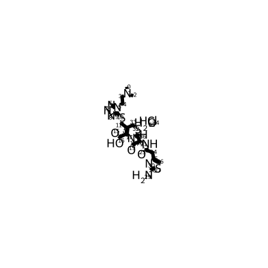 CN(C)CCn1nnnc1SCC1=C(C(=O)O)N2C(=O)[C@@H](NC(=O)Cc3csc(N)n3)[C@H]2SC1.Cl.O